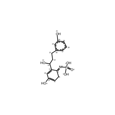 O=P(O)(O)N=C1CC=C(O)C=C1C(O)CCc1cccc(O)c1